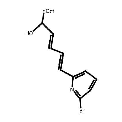 CCCCCCCCC(O)C=CC=Cc1cccc(Br)n1